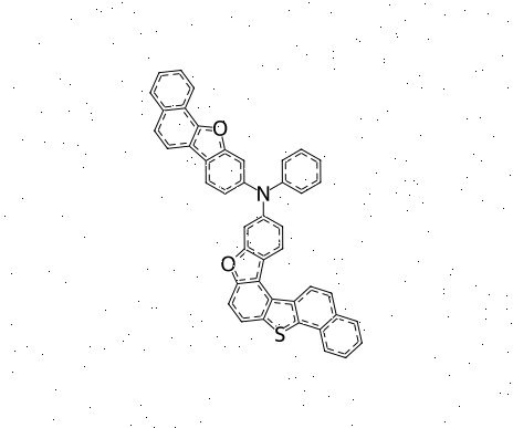 c1ccc(N(c2ccc3c(c2)oc2c4ccccc4ccc32)c2ccc3c(c2)oc2ccc4sc5c6ccccc6ccc5c4c23)cc1